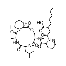 CCCCCC(CC(=O)N1N=CCCC1C(=O)N[C@H]1COC(=O)[C@H]2CCCNN2C(=O)[C@H](C)NC(=O)[C@@H](CC(C)C)NC1=O)C(=O)O